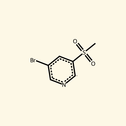 CS(=O)(=O)c1[c]ncc(Br)c1